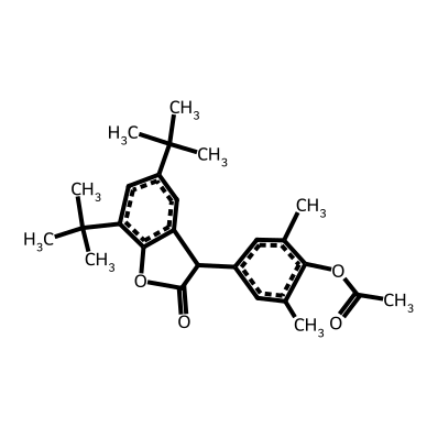 CC(=O)Oc1c(C)cc(C2C(=O)Oc3c2cc(C(C)(C)C)cc3C(C)(C)C)cc1C